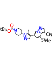 CSc1cc(-c2cnn(C3CCN(C(=O)OC(C)(C)C)CC3)c2C)cn2ncc(C#N)c12